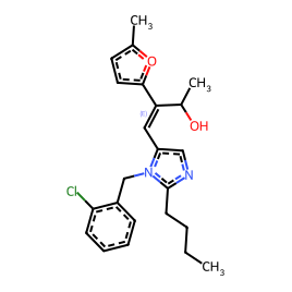 CCCCc1ncc(/C=C(/c2ccc(C)o2)C(C)O)n1Cc1ccccc1Cl